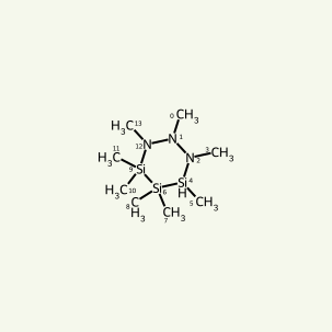 CN1N(C)[SiH](C)[Si](C)(C)[Si](C)(C)N1C